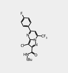 CC(C)(C)NC(=O)c1nn2c(C(F)(F)F)cc(-c3ccc(F)cc3)nc2c1Cl